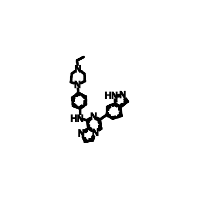 CCN1CCN(c2ccc(Nc3nc(-c4ccc5cn[nH]c5c4)cn4ccnc34)cc2)CC1